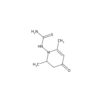 CC1=CC(=O)CC(C)N1NC(N)=S